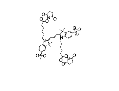 CC1(C)C(/C=C/C=C2/N(CCCCCC(=O)ON3C(=O)CCC3=O)c3ccc(S(C)(=O)=O)cc3C2(C)C)=[N+](CCCCCC(=O)ON2C(=O)CCC2=O)c2ccc(S(=O)(=O)[O-])cc21